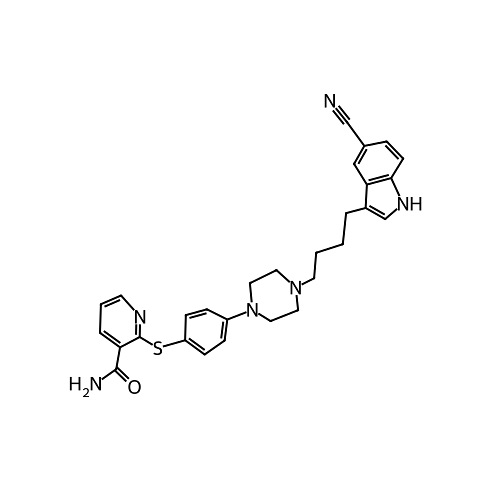 N#Cc1ccc2[nH]cc(CCCCN3CCN(c4ccc(Sc5ncccc5C(N)=O)cc4)CC3)c2c1